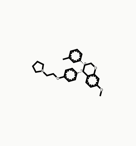 COc1ccc2c(c1)OC[C@@H](c1cccc(C)c1)[C@H]2c1ccc(OCCN2CCCC2)cc1